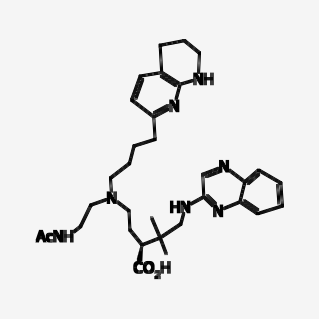 CC(=O)NCCN(CCCCc1ccc2c(n1)NCCC2)CC[C@H](C(=O)O)C(C)(C)CNc1cnc2ccccc2n1